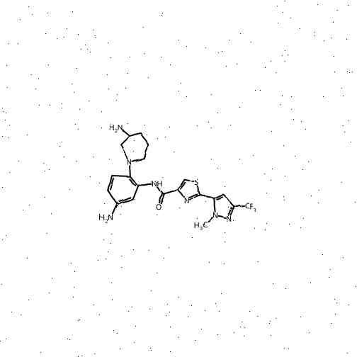 Cn1nc(C(F)(F)F)cc1-c1nc(C(=O)Nc2cc(N)ccc2N2CCCC(N)C2)cs1